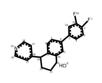 Cl.Fc1ccc(-c2ccc3c(c2)CCCC3c2ccncc2)cc1F